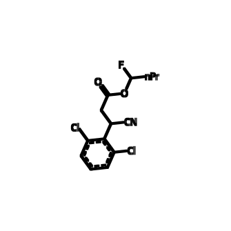 CCCC(F)OC(=O)CC(C#N)c1c(Cl)cccc1Cl